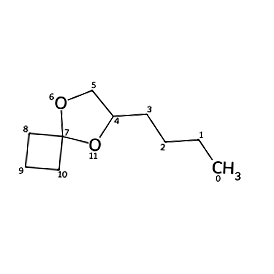 CCCCC1COC2(CCC2)O1